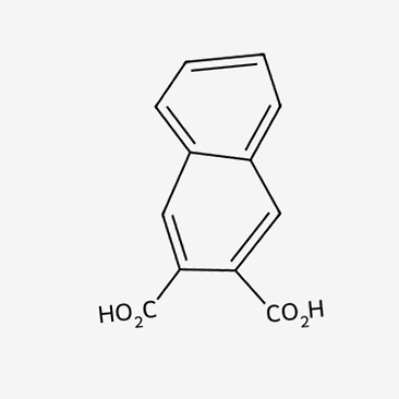 O=C(O)c1cc2ccccc2cc1C(=O)O